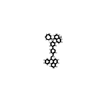 C1=CCCC(N(C2=C3C=CC=C[C@@H]3CC=C2)c2ccc(C3C=CC(CCC(c4ccccc4)c4cccc5ccccc45)=CC3)cc2)C=C1